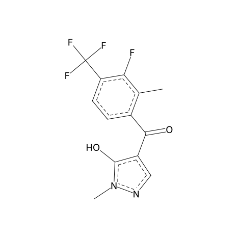 Cc1c(C(=O)c2cnn(C)c2O)ccc(C(F)(F)F)c1F